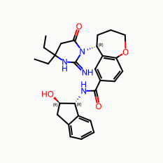 CCC1(CC)CC(=O)N([C@@H]2CCCOc3ccc(C(=O)N[C@@H]4c5ccccc5C[C@H]4O)cc32)C(=N)N1